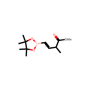 COC(=O)C(C)/C=C/B1OC(C)(C)C(C)(C)O1